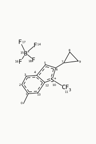 Cc1ccc2cc(C3CC3)[s+](C(F)(F)F)c2c1.F[B-](F)(F)F